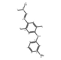 CCN(C)/C=N/c1cc(C)c(Oc2cccc(C(C)(C)C)c2)cc1C